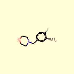 Cc1cc(CN2CCOCC2)ccc1F